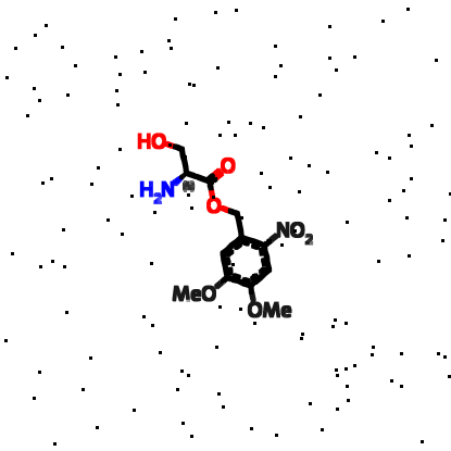 COc1cc(COC(=O)[C@@H](N)CO)c([N+](=O)[O-])cc1OC